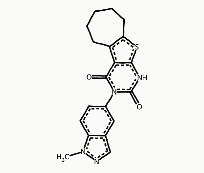 Cn1ncc2cc(-n3c(=O)[nH]c4sc5c(c4c3=O)CCCCC5)ccc21